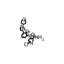 COc1c(Nc2cc(Cl)ncc2C(N)=O)cccc1-c1ccn(C2CCOCC2)n1